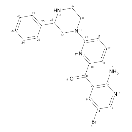 Nc1ncc(Br)cc1C(=O)c1cccc(N2CCNC(c3ccccc3)C2)n1